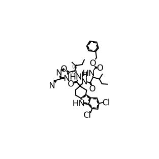 CCC(C)C(NC(=O)OCc1ccccc1)C(=O)N[C@]1(C(=O)N[C@H](c2nc(C#N)no2)[C@@H](C)CC)CCc2[nH]c3c(Cl)cc(Cl)cc3c2C1